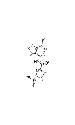 O=C(Nc1ccc(F)c2c1CCC2)n1ccc(C(F)F)n1